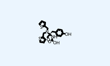 O=C[C@@](Cc1ccc(O)cc1)(NC(=O)O)N(Cc1cccs1)Cc1cccs1